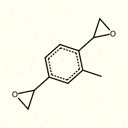 Cc1cc(C2CO2)ccc1C1CO1